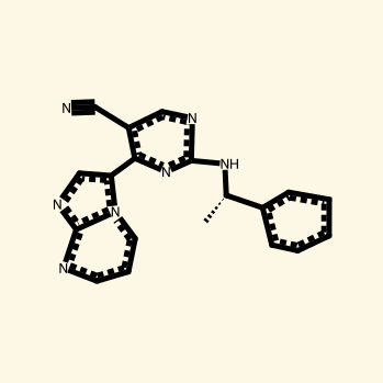 C[C@H](Nc1ncc(C#N)c(-c2cnc3ncccn23)n1)c1ccccc1